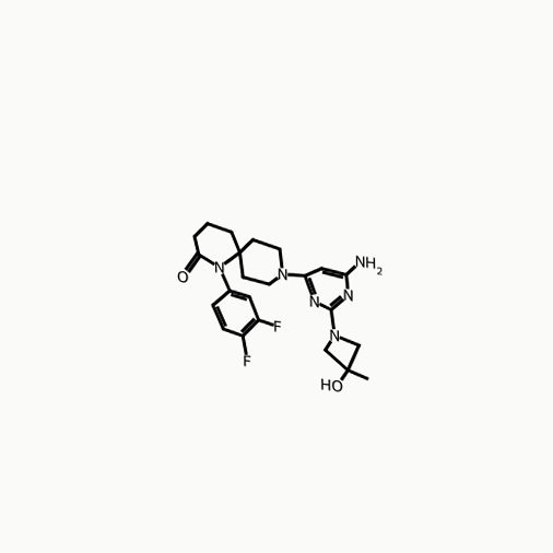 CC1(O)CN(c2nc(N)cc(N3CCC4(CCCC(=O)N4c4ccc(F)c(F)c4)CC3)n2)C1